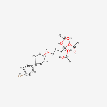 CC(=O)O[Si](CCCO[C@H]1CC[C@H](c2ccc(Br)cc2)CC1)(OC(C)=O)OC(C)=O